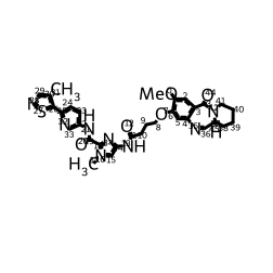 COc1cc2c(cc1OCCCC(=O)Nc1cn(C)c(C(=O)Nc3ccc(-c4sncc4C)nc3)n1)N=C[C@@H]1CCCCN1C2=O